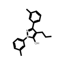 CCCc1c(-c2cccc(C)c2)nn(-c2cccc(C)c2)c1O